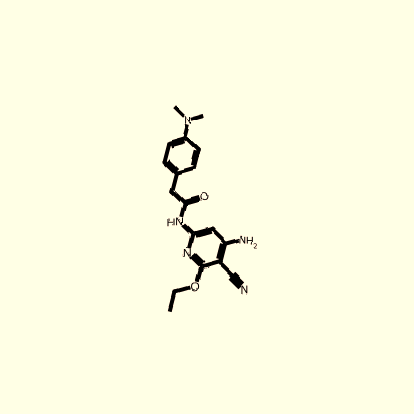 CCOc1nc(NC(=O)Cc2ccc(N(C)C)cc2)cc(N)c1C#N